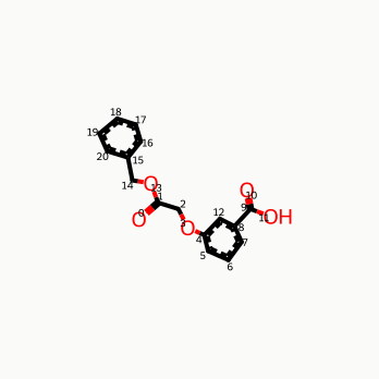 O=C(COc1cccc(C(=O)O)c1)OCc1ccccc1